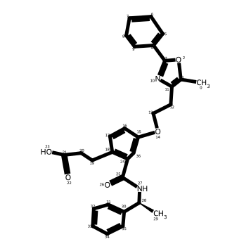 Cc1oc(-c2ccccc2)nc1CCOc1ccc(CCC(=O)O)c(C(=O)N[C@@H](C)c2ccccc2)c1